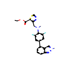 CCOC(=O)c1scnc1CN(C)c1c(F)cc(-c2cccc3nn(C)cc23)cc1F